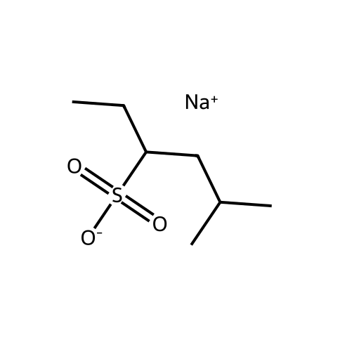 CCC(CC(C)C)S(=O)(=O)[O-].[Na+]